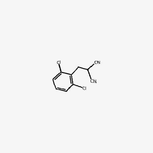 N#CC(C#N)Cc1c(Cl)cccc1Cl